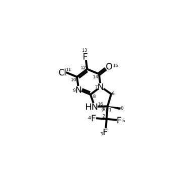 C[C@]1(C(F)(F)F)Cn2c(nc(Cl)c(F)c2=O)N1